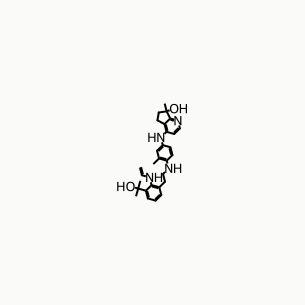 C=CNc1c(CCNc2ccc(Nc3ccnc4c3CCC4(C)O)cc2C)cccc1C(C)(C)O